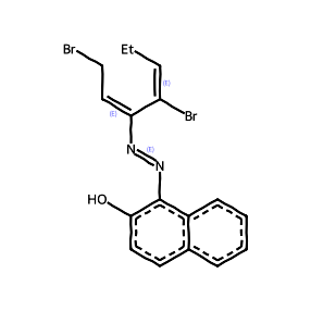 CC\C=C(Br)/C(=C\CBr)/N=N/c1c(O)ccc2ccccc12